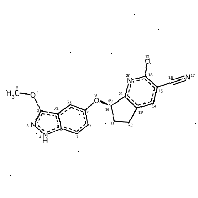 COc1n[nH]c2ccc(O[C@@H]3CCc4cc(C#N)c(Cl)nc43)cc12